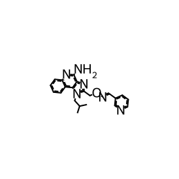 CC(C)Cn1c(CON=Cc2cccnc2)nc2c(N)nc3ccccc3c21